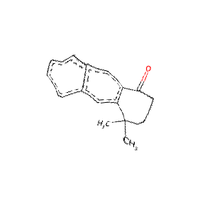 CC1(C)CCC(=O)c2cc3ccccc3cc21